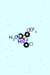 CN1CC[C@H](c2cccc(OC(F)(F)F)c2)[C@@H](C(=O)Nc2cccc(Cl)c2F)C1=O